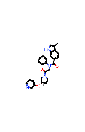 Cc1c[nH]c2cc(C(=O)N(CC(=O)N3CC[C@@H](Oc4cccnc4)C3)c3ccccc3)ccc12